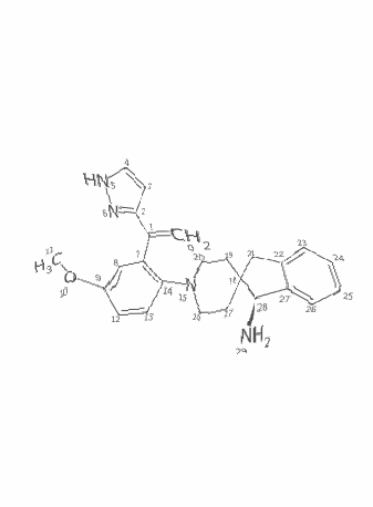 C=C(c1cc[nH]n1)c1cc(OC)ccc1N1CCC2(CC1)Cc1ccccc1[C@H]2N